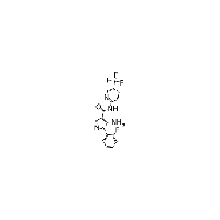 Cc1cccc(-n2ncc(C(=O)Nc3ccc(C(F)(F)F)cn3)c2N)c1F